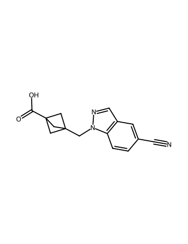 N#Cc1ccc2c(cnn2CC23CC(C(=O)O)(C2)C3)c1